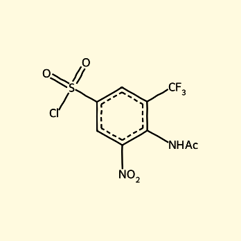 CC(=O)Nc1c([N+](=O)[O-])cc(S(=O)(=O)Cl)cc1C(F)(F)F